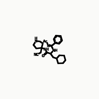 CC(=O)N=C(NC(CC1CCCCC1)C(=O)NC1(CC#N)CCNCC1)c1ccccc1